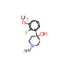 CCCN1CCC(O)(c2cccc(OC(F)(F)F)c2F)CC1